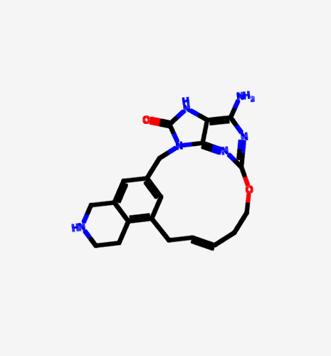 Nc1nc2nc3c1[nH]c(=O)n3Cc1cc(c3c(c1)CNCC3)C/C=C/CCO2